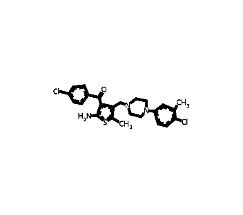 Cc1cc(N2CCN(Cc3c(C)sc(N)c3C(=O)c3ccc(Cl)cc3)CC2)ccc1Cl